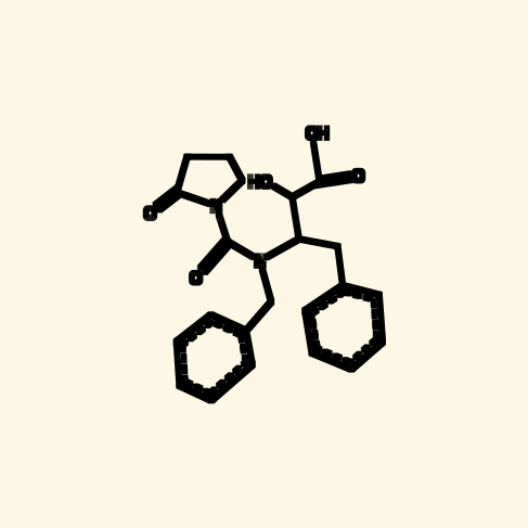 O=C(O)C(O)C(Cc1ccccc1)N(Cc1ccccc1)C(=O)N1CCCC1=O